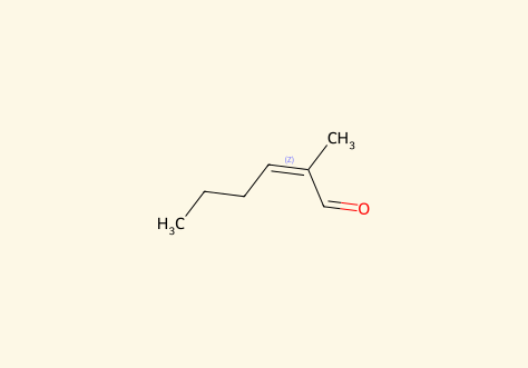 CCC/C=C(/C)C=O